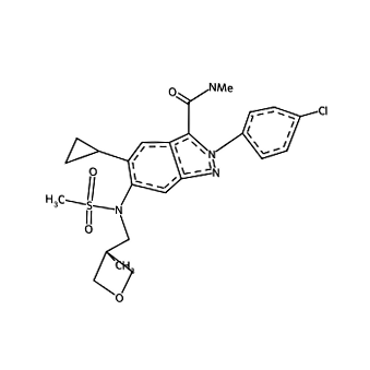 CNC(=O)c1c2cc(C3CC3)c(N(CC3(C)COC3)S(C)(=O)=O)cc2nn1-c1ccc(Cl)cc1